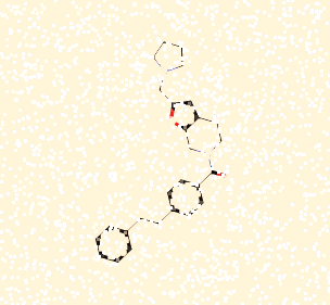 O=C(c1ccc(CCc2ccccc2)cc1)N1CCc2cc(CN3CCCC3)oc2C1